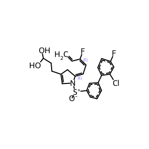 C=C/C(F)=C\C=C1/CC(CCC(O)O)=CN1[S+]([O-])c1cccc(-c2ccc(F)cc2Cl)c1